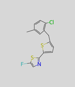 Cc1ccc(Cl)c(Cc2ccc(-c3ncc(F)s3)s2)c1